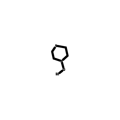 CCON1CCSCC1